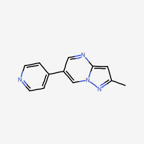 Cc1cc2ncc(-c3ccncc3)cn2n1